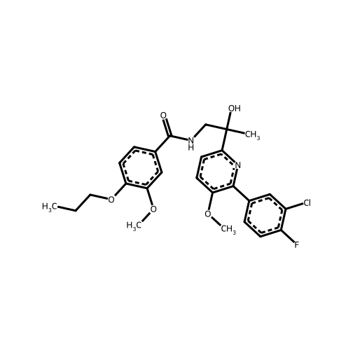 CCCOc1ccc(C(=O)NCC(C)(O)c2ccc(OC)c(-c3ccc(F)c(Cl)c3)n2)cc1OC